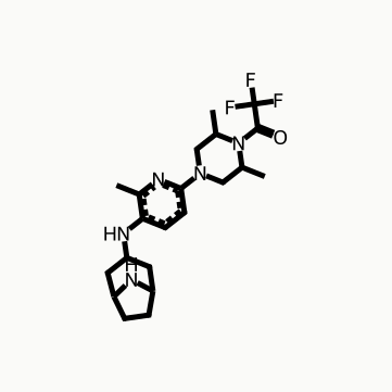 Cc1nc(N2CC(C)N(C(=O)C(F)(F)F)C(C)C2)ccc1NC1CC2CCC(C1)N2